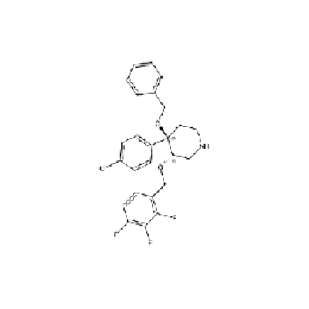 Fc1ccc(CO[C@H]2CNCC[C@@]2(OCc2ccccc2)c2ccc(Cl)cc2)c(F)c1F